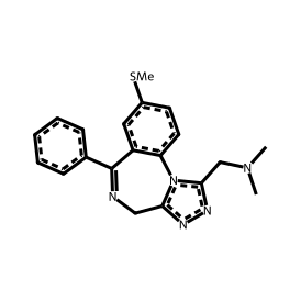 CSc1ccc2c(c1)C(c1ccccc1)=NCc1nnc(CN(C)C)n1-2